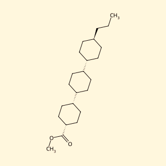 CCC[C@H]1CC[C@H](C2CCC([C@H]3CC[C@@H](C(=O)OC)CC3)CC2)CC1